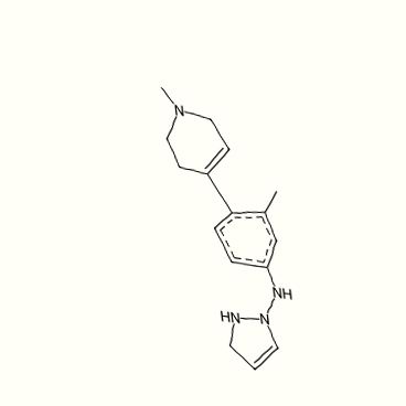 Cc1cc(NN2C=CCN2)ccc1C1=CCN(C)CC1